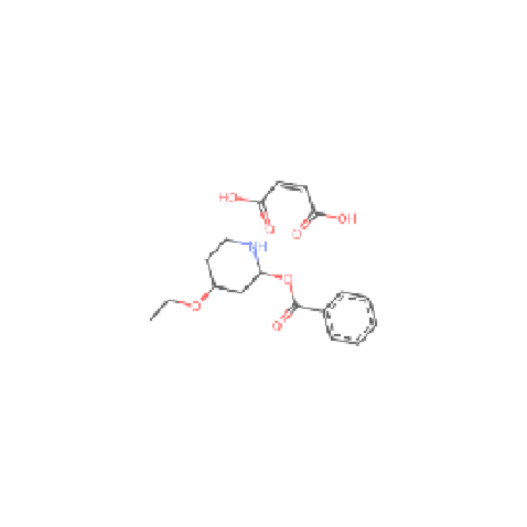 CCO[C@H]1CCN[C@@H](OC(=O)c2ccccc2)C1.O=C(O)/C=C\C(=O)O